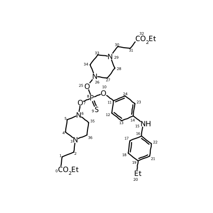 CCOC(=O)CCN1CCN(OP(=S)(Oc2ccc(Nc3ccc(CC)cc3)cc2)ON2CCN(CCC(=O)OCC)CC2)CC1